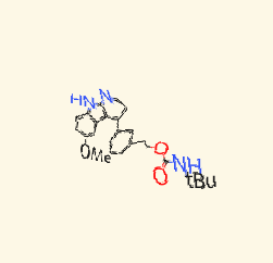 COc1ccc2[nH]c3nccc(-c4cccc(CCOC(=O)NC(C)(C)C)c4)c3c2c1